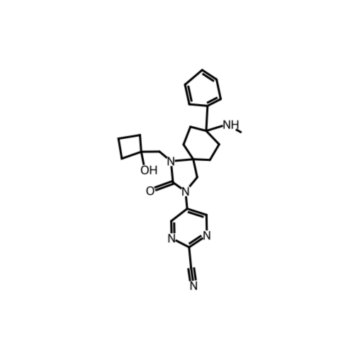 CNC1(c2ccccc2)CCC2(CC1)CN(c1cnc(C#N)nc1)C(=O)N2CC1(O)CCC1